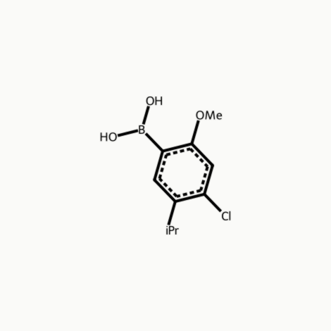 COc1cc(Cl)c(C(C)C)cc1B(O)O